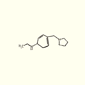 CCNC1C=CC(CN2CCCC2)=CC1